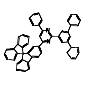 C1=CCC(c2cc(-c3ccccc3)cc(-c3nc(-c4ccccc4)cc(-c4ccc5c(c4)C4(c6ccccc6-c6ccccc64)c4ccccc4-5)n3)c2)C=C1